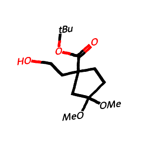 COC1(OC)CCC(CCO)(C(=O)OC(C)(C)C)C1